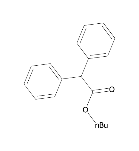 [CH2]CCCOC(=O)C(c1ccccc1)c1ccccc1